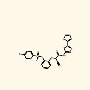 N#CC(Cc1ccccc1OS(=O)(=O)c1ccc(F)cc1)C(=O)Nc1nnc(-c2cccs2)s1